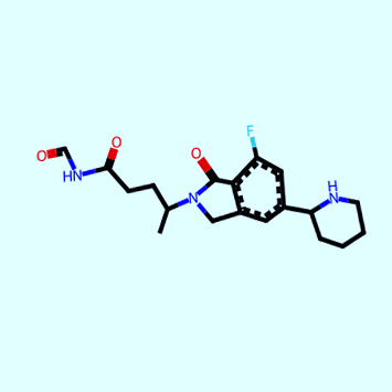 CC(CCC(=O)NC=O)N1Cc2cc(C3CCCCN3)cc(F)c2C1=O